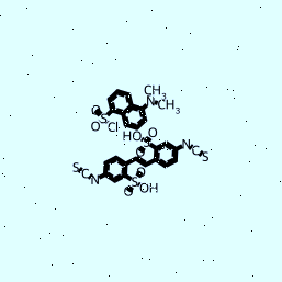 CN(C)c1cccc2c(S(=O)(=O)Cl)cccc12.O=S(=O)(O)c1cc(N=C=S)ccc1C=Cc1ccc(N=C=S)cc1S(=O)(=O)O